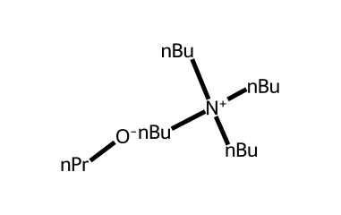 CCCC[N+](CCCC)(CCCC)CCCC.CCC[O-]